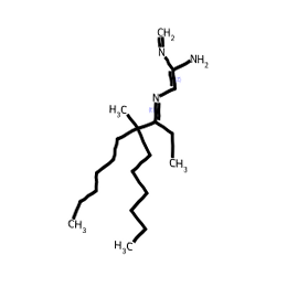 C=N/C(N)=C\N=C(/CC)C(C)(CCCCCC)CCCCCC